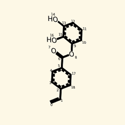 C=Cc1ccc(C(=O)Oc2cccc(O)c2O)cc1